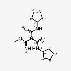 COC(=N)N(C(=O)NC1CCCC1)C(=O)NC1CCCC1